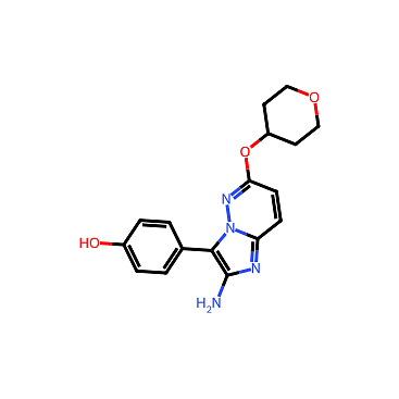 Nc1nc2ccc(OC3CCOCC3)nn2c1-c1ccc(O)cc1